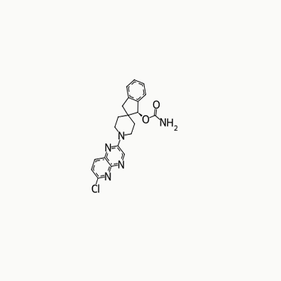 NC(=O)O[C@@H]1c2ccccc2CC12CCN(c1cnc3nc(Cl)ccc3n1)CC2